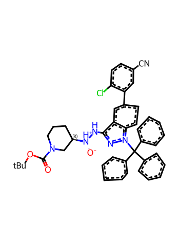 CC(C)(C)OC(=O)N1CCC[C@@H]([NH+]([O-])Nc2nn(C(c3ccccc3)(c3ccccc3)c3ccccc3)c3ccc(-c4cc(C#N)ccc4Cl)cc23)C1